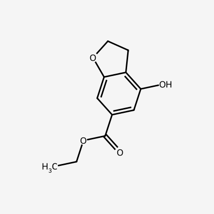 CCOC(=O)c1cc(O)c2c(c1)OCC2